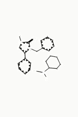 Cn1cc(-c2ccccc2)n(Cc2ccccc2)[c]1=[Pt].IN(I)C1CCCCC1